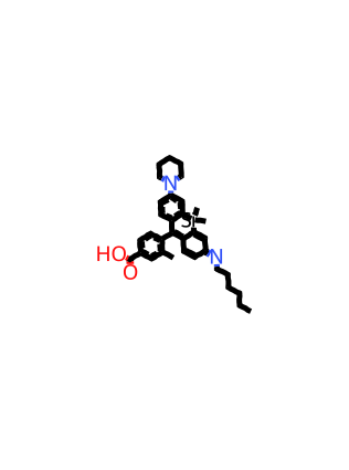 CCCCCC/N=C1\C=CC2=C(c3ccc(C(=O)O)cc3C)c3ccc(N4CCCCC4)cc3[Si](C)(C)C2=C1